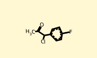 CC(=O)C(Cl)c1ccc(F)cc1